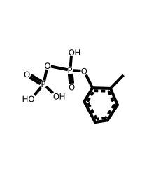 Cc1ccccc1OP(=O)(O)OP(=O)(O)O